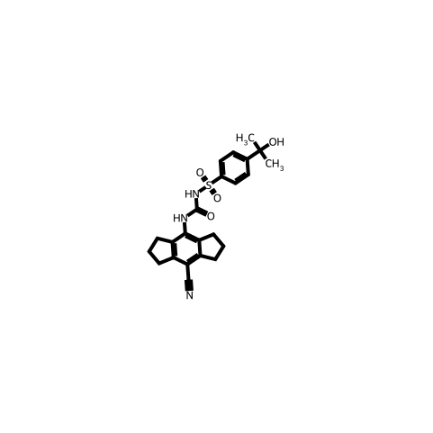 CC(C)(O)c1ccc(S(=O)(=O)NC(=O)Nc2c3c(c(C#N)c4c2CCC4)CCC3)cc1